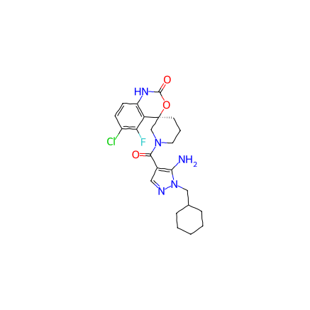 Nc1c(C(=O)N2CCC[C@@]3(C2)OC(=O)Nc2ccc(Cl)c(F)c23)cnn1CC1CCCCC1